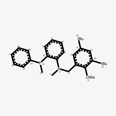 COc1c(CN(C)c2ccccc2P(C)c2ccccc2)cc(C(C)(C)C)cc1C(C)(C)C